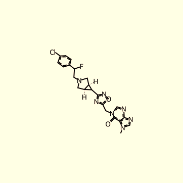 Cn1cnc2ncn(Cc3nc(C4[C@H]5CN(CC(F)c6ccc(Cl)cc6)C[C@@H]45)no3)c(=O)c21